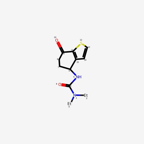 CCN(CC)C(=O)NC1CCC(=O)c2sccc21